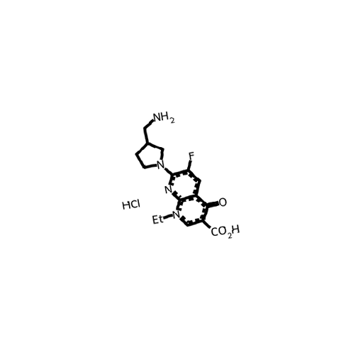 CCn1cc(C(=O)O)c(=O)c2cc(F)c(N3CCC(CN)C3)nc21.Cl